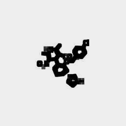 CC1=C(C(=O)O)C(c2ccccc2OCc2ccc(Cl)cc2)C([N+](=O)[O-])=C(C)N1.c1c[nH]cn1